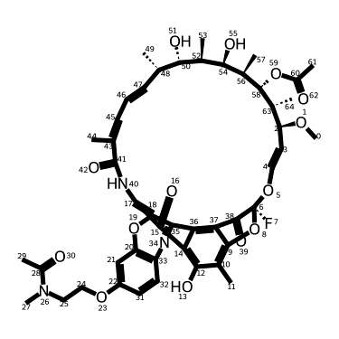 CO[C@H]1/C=C/O[C@@]2(F)Oc3c(C)c(O)c4c(=O)c(c5oc6cc(OCCN(C)C(C)=O)ccc6nc-5c4c3C2=O)NC(=O)/C(C)=C\C=C\[C@H](C)[C@H](O)[C@@H](C)[C@@H](O)[C@@H](C)[C@H](OC(C)=O)[C@@H]1C